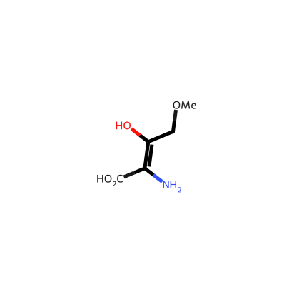 COCC(O)=C(N)C(=O)O